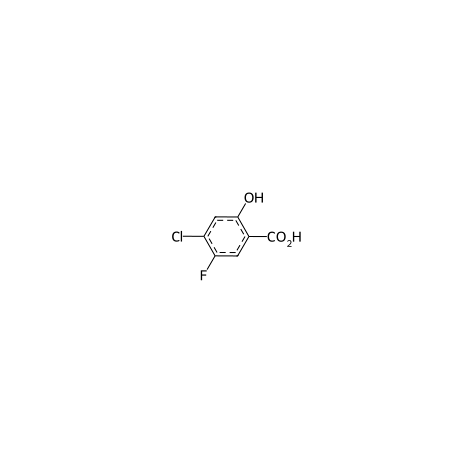 O=C(O)c1cc(F)c(Cl)cc1O